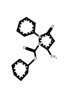 Cc1cc(=O)n(-c2ccccc2)n1C(=O)Oc1ccccc1